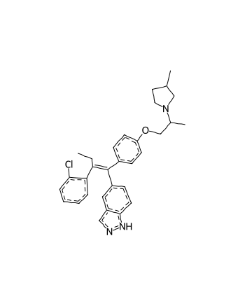 CCC(=C(c1ccc(OCC(C)N2CCC(C)C2)cc1)c1ccc2[nH]ncc2c1)c1ccccc1Cl